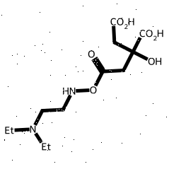 CCN(CC)CCNOC(=O)CC(O)(CC(=O)O)C(=O)O